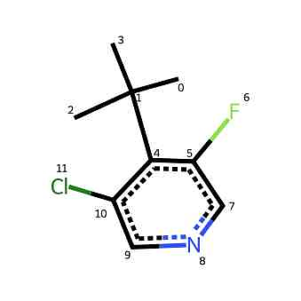 CC(C)(C)c1c(F)cncc1Cl